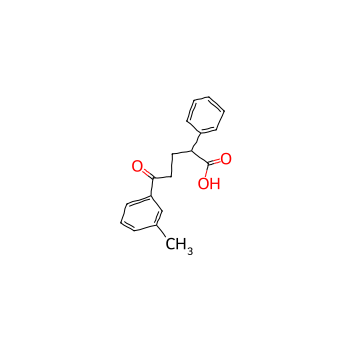 Cc1cccc(C(=O)CCC(C(=O)O)c2ccccc2)c1